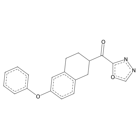 O=C(c1nnco1)C1CCc2cc(Oc3ccccc3)ccc2C1